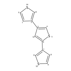 c1cc(-c2csc(-c3ccsc3)c2)cs1